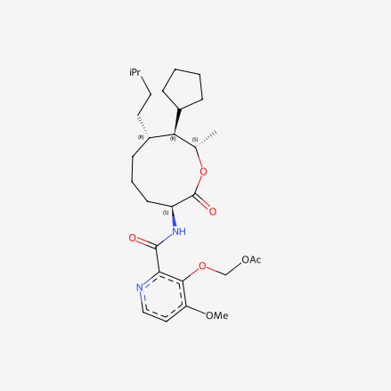 COc1ccnc(C(=O)N[C@H]2CCC[C@H](CCC(C)C)[C@@H](C3CCCC3)[C@H](C)OC2=O)c1OCOC(C)=O